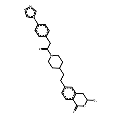 CCC1Cc2cc(CCC3CCN(C(=O)Cc4ccc(-n5cnnn5)cc4)CC3)ccc2C(=O)O1